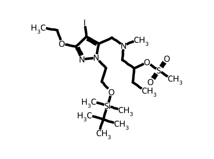 CCOc1nn(CCO[Si](C)(C)C(C)(C)C)c(CN(C)CC(CC)OS(C)(=O)=O)c1I